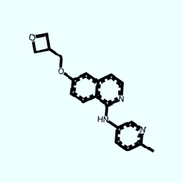 Cc1ccc(Nc2nccc3cc(OCC4COC4)ccc23)cn1